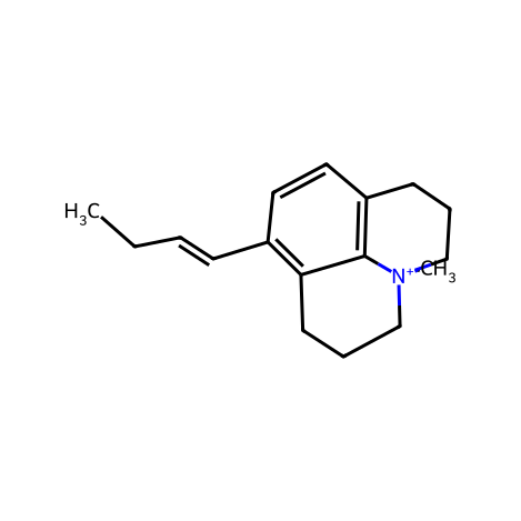 CC/C=C/c1ccc2c3c1CCC[N+]3(C)CCC2